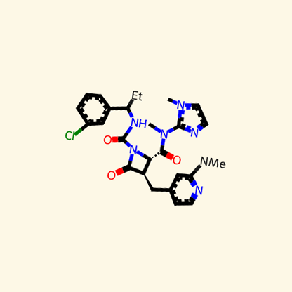 CCC(NC(=O)N1C(=O)[C@H](Cc2ccnc(NC)c2)[C@H]1C(=O)N(C)c1nccn1C)c1cccc(Cl)c1